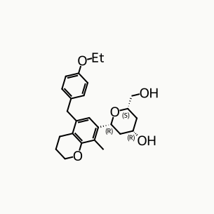 CCOc1ccc(Cc2cc([C@H]3C[C@@H](O)C[C@@H](CO)O3)c(C)c3c2CCCO3)cc1